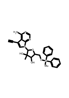 C#Cc1cn(C2OC(CO[Si](c3ccccc3)(c3ccccc3)C(C)(C)C)C(O)C2(C)O)c2ncnc(N)c12